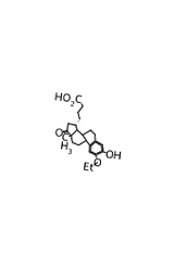 CCOc1cc2c(cc1O)CCC1C2CC[C@]2(C)C(=O)C[C@H](CCCC(=O)O)C12